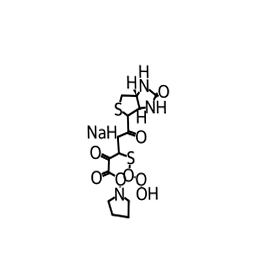 O=C1N[C@H]2CSC(C(=O)CC(SOOO)C(=O)C(=O)ON3CCCC3)[C@H]2N1.[NaH]